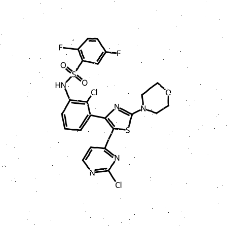 O=S(=O)(Nc1cccc(-c2nc(N3CCOCC3)sc2-c2ccnc(Cl)n2)c1Cl)c1cc(F)ccc1F